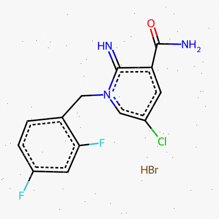 Br.N=c1c(C(N)=O)cc(Cl)cn1Cc1ccc(F)cc1F